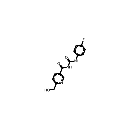 O=C(NC(=O)c1ccc(CO)nc1)Nc1ccc(F)cc1